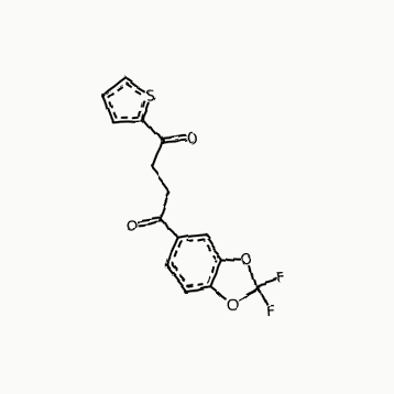 O=C(CCC(=O)c1cccs1)c1ccc2c(c1)OC(F)(F)O2